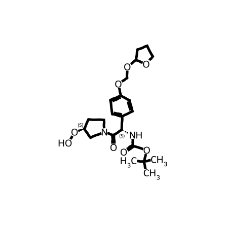 CC(C)(C)OC(=O)N[C@H](C(=O)N1CC[C@H](OO)C1)c1ccc(OCOC2CCCO2)cc1